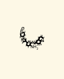 Nc1ccc(-c2cnn(C3CCN(C=O)CC3)c2)nc1NCc1ccc2ncccc2c1